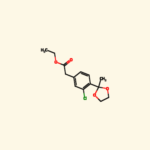 CCOC(=O)Cc1ccc(C2(C)OCCO2)c(Cl)c1